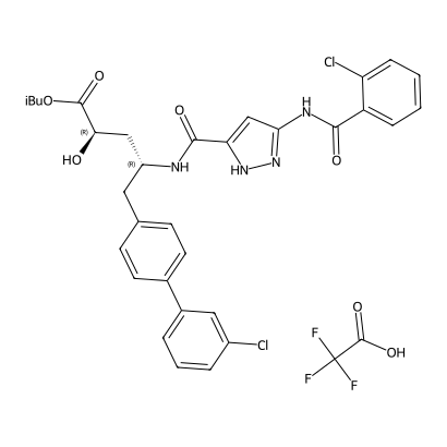 CC(C)COC(=O)[C@H](O)C[C@@H](Cc1ccc(-c2cccc(Cl)c2)cc1)NC(=O)c1cc(NC(=O)c2ccccc2Cl)n[nH]1.O=C(O)C(F)(F)F